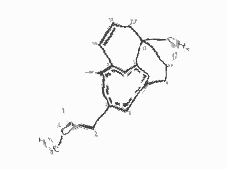 COCc1cc2c3c(c1)CCC3(C)CC=C2